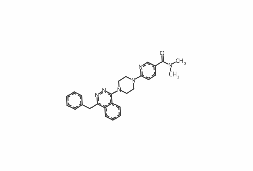 CN(C)C(=O)c1ccc(N2CCN(c3nnc(Cc4ccccc4)c4ccccc34)CC2)nc1